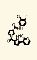 N#Cc1ncccc1-c1ccc(C(=O)N2CC[C@H](C(=O)Nc3ccc(F)c(Cl)c3)C2)[nH]1